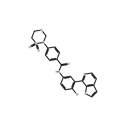 O=C(Nc1ccc(Cl)c(-c2nccc3ccsc23)c1)c1ccc(N2COCCS2(=O)=O)cc1